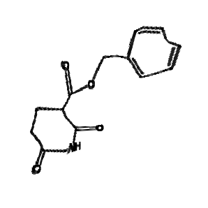 O=C1CCC(C(=O)OCc2ccccc2)C(=O)N1